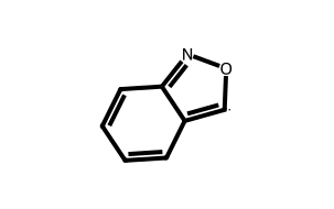 [c]1onc2ccccc12